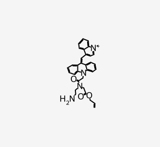 C=CCOC(=O)CN(CCN)C(=O)CN1c2ccccc2C(=Cc2cc[n+](C)c3ccccc23)c2ccccc21